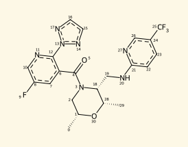 C[C@@H]1CN(C(=O)c2cc(F)cnc2-n2nccn2)[C@H](CNc2ccc(C(F)(F)F)cn2)[C@H](C)O1